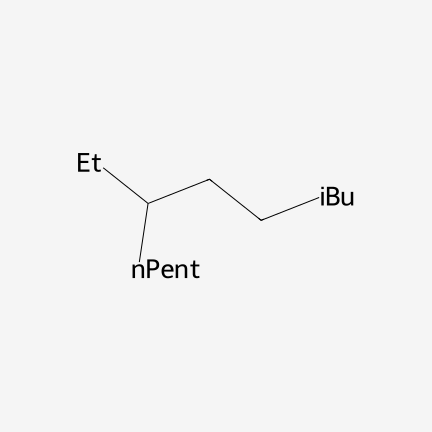 [CH2]C(CC)CCC(CC)CCCCC